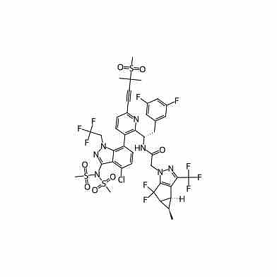 C[C@H]1C2[C@H]1c1c(C(F)(F)F)nn(CC(=O)N[C@@H](Cc3cc(F)cc(F)c3)c3nc(C#CC(C)(C)S(C)(=O)=O)ccc3-c3ccc(Cl)c4c(N(S(C)(=O)=O)S(C)(=O)=O)nn(CC(F)(F)F)c34)c1C2(F)F